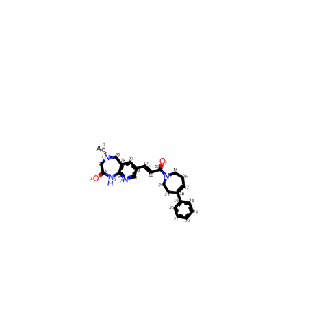 CC(=O)N1CC(=O)Nc2ncc(/C=C/C(=O)N3CCC=C(c4ccccc4)CC3)cc2C1